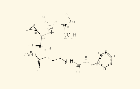 COC(=O)C(CCCNC(=O)OCc1ccccc1)NC(=O)C(NC(=O)[C@@H]1CCCN1C(=O)O)C1CC1